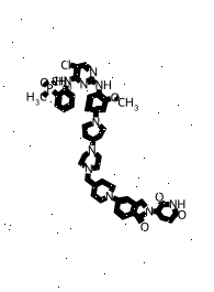 COc1cc(N2CCC(N3CCN(CC4CCN(c5ccc6c(c5)CN(C5CCC(=O)NC5=O)C6=O)CC4)CC3)CC2)ccc1Nc1ncc(Cl)c(Nc2ccccc2P(C)(C)=O)n1